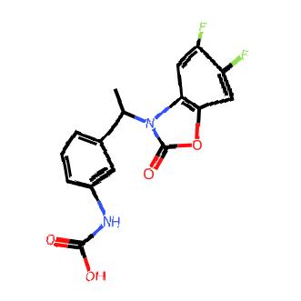 CC(c1cccc(NC(=O)O)c1)n1c(=O)oc2cc(F)c(F)cc21